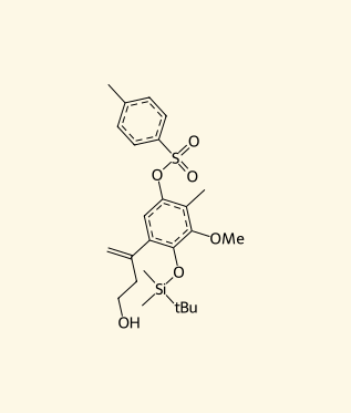 C=C(CCO)c1cc(OS(=O)(=O)c2ccc(C)cc2)c(C)c(OC)c1O[Si](C)(C)C(C)(C)C